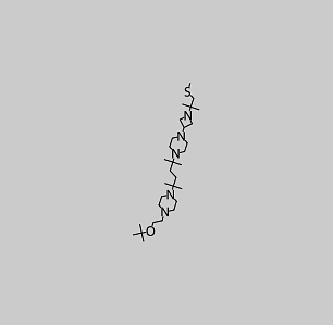 CSCC(C)(C)N1CC(N2CCN(C(C)(C)CCC(C)(C)N3CCN(CCOC(C)(C)C)CC3)CC2)C1